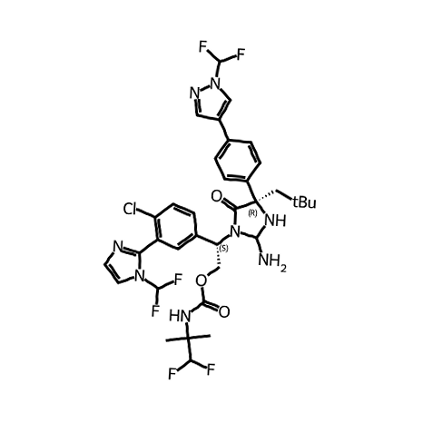 CC(C)(C)C[C@]1(c2ccc(-c3cnn(C(F)F)c3)cc2)NC(N)N([C@H](COC(=O)NC(C)(C)C(F)F)c2ccc(Cl)c(-c3nccn3C(F)F)c2)C1=O